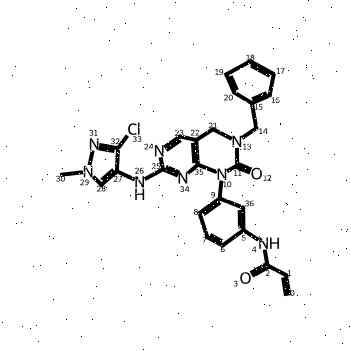 C=CC(=O)Nc1cccc(N2C(=O)N(Cc3ccccc3)Cc3cnc(Nc4cn(C)nc4Cl)nc32)c1